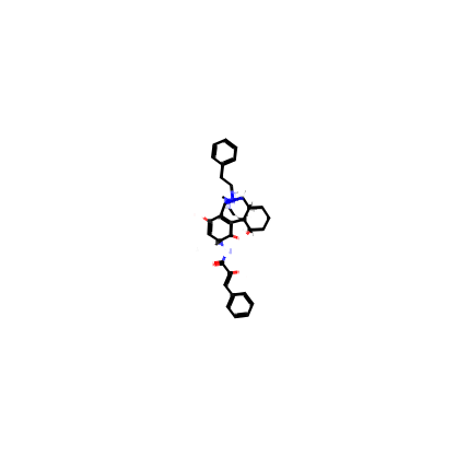 CC(=O)OC1(NC(=O)C(=Cc2ccccc2)OC(F)(F)F)C=C(O)C2=C3C1O[C@H]1CCC[C@H]4[C@@H](C2)[N+](C)(CCc2ccccc2)CC[C@]314